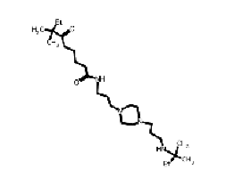 CCC(C)(C)NCCCN1CCN(CCCNC(=O)CCCCC(=O)C(C)(C)CC)CC1